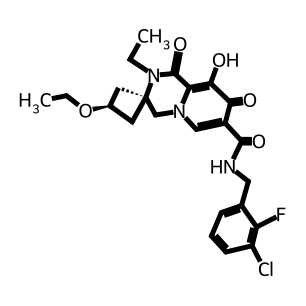 CCO[C@H]1C[C@]2(Cn3cc(C(=O)NCc4cccc(Cl)c4F)c(=O)c(O)c3C(=O)N2CC)C1